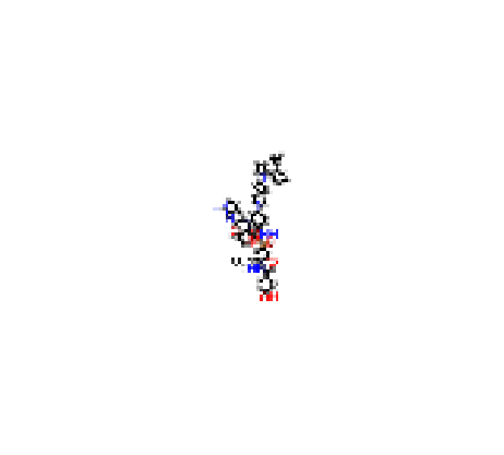 O=C(NS(=O)(=O)c1cc2c(c([N+](=O)[O-])c1)N[C@H](C1CCC(O)CC1)CO2)c1ccc(N2CCC3(CC2)CC(N2CCC[C@H]2c2ccccc2C2CC2)C3)cc1N1c2cc3cc[nH]c3nc2O[C@H]2CCOC[C@H]21